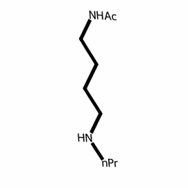 [CH2]CCNCCCCNC(C)=O